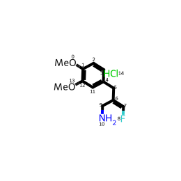 COc1ccc(CC(=CF)CN)cc1OC.Cl